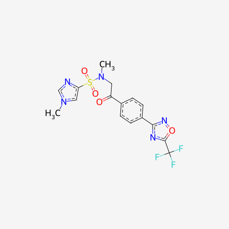 CN(CC(=O)c1ccc(-c2noc(C(F)(F)F)n2)cc1)S(=O)(=O)c1cn(C)cn1